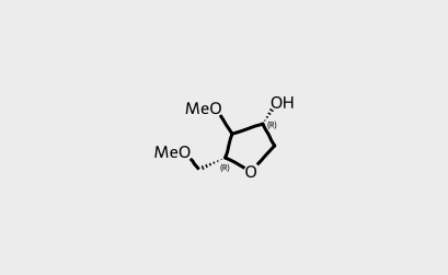 COC[C@H]1OC[C@@H](O)C1OC